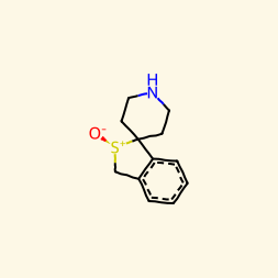 [O-][S@+]1Cc2ccccc2C12CCNCC2